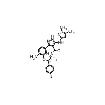 C[C@H](Oc1cc(-c2n[nH]c(Nc3cc(C(F)(F)F)n(C)n3)c2C(N)=O)ccc1N)c1ccc(F)cc1